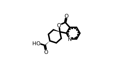 O=C1O[C@]2(CC[C@@H](C(=O)O)CC2)c2ncccc21